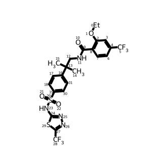 CCOc1cc(C(F)(F)F)ccc1C(=O)NCC(C)(C)c1ccc(S(=O)(=O)Nc2nnc(C(F)(F)F)s2)cc1